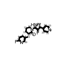 O=C1[C@H](Cc2ccc(F)nc2)CCCN1c1[nH]nc(-c2ccncc2)c1F